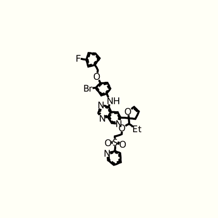 CCC(OCCS(=O)(=O)c1ccccn1)C1(c2cc3c(Nc4ccc(OCc5cccc(F)c5)c(Br)c4)ncnc3cn2)CC=CO1